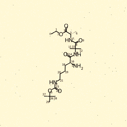 CCOC(=O)[C@H](C)NC(=O)C(C)(C)NC(=O)[C@@H](N)CCCCNC(=O)OC(C)(C)C